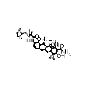 CC(NCc1nccn1C)C(=O)Nc1ccc2c(c1O)C(=O)C1=C(O)[C@]3(O)C(=O)C(C(N)=O)=C(O)[C@@H](N(C)C)C3CC1C2